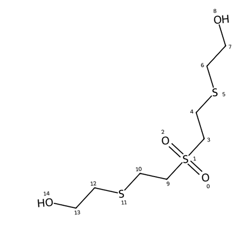 O=S(=O)(CCSCCO)CCSCCO